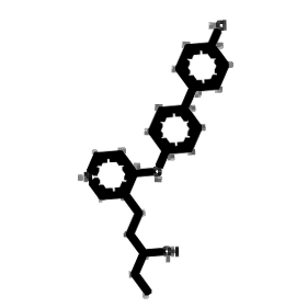 CCC(O)CCc1cnccc1Oc1ccc(-c2ccc(Cl)cc2)cc1